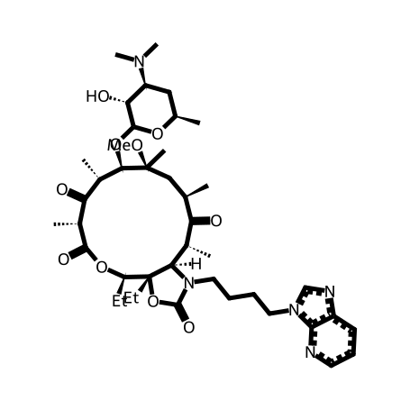 CC[C@H]1OC(=O)[C@H](C)C(=O)[C@H](C)[C@@H](OC2O[C@H](C)C[C@H](N(C)C)[C@H]2O)[C@@](C)(OC)C[C@@H](C)C(=O)[C@H](C)[C@H]2N(CCCCn3cnc4cccnc43)C(=O)O[C@]12CC